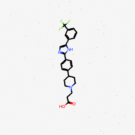 O=C(O)CCN1CCC(c2ccc(-c3ncc(-c4cccc(C(F)(F)F)c4)[nH]3)cc2)CC1